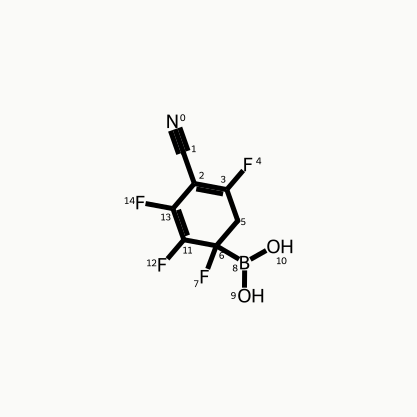 N#CC1=C(F)CC(F)(B(O)O)C(F)=C1F